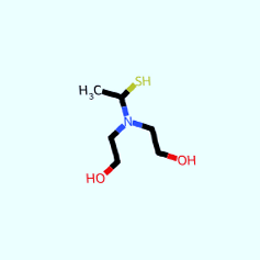 CC(S)N(CCO)CCO